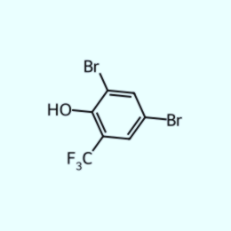 Oc1c(Br)cc(Br)cc1C(F)(F)F